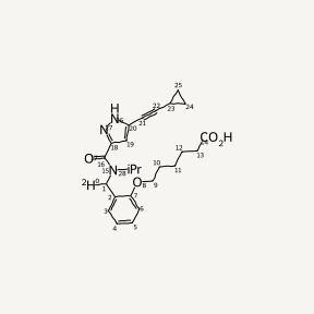 [2H]C(c1ccccc1OCCCCCC(=O)O)N(C(=O)c1cc(C#CC2CC2)[nH]n1)C(C)C